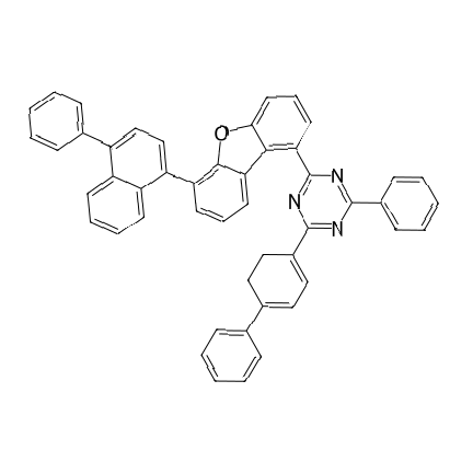 C1=C(c2ccccc2)CCC(c2nc(-c3ccccc3)nc(-c3cccc4oc5c(-c6ccc(-c7ccccc7)c7ccccc67)cccc5c34)n2)=C1